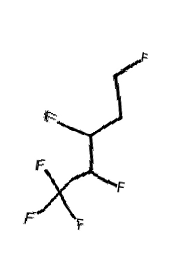 FCCC(F)C(F)C(F)(F)F